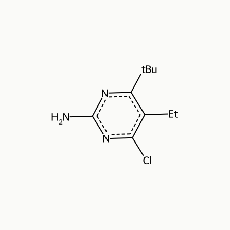 CCc1c(Cl)nc(N)nc1C(C)(C)C